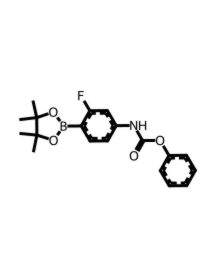 CC1(C)OB(c2ccc(NC(=O)Oc3ccccc3)cc2F)OC1(C)C